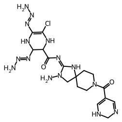 NN=NC1=C(Cl)NC(C(=O)/N=C2/NC3(CCN(C(=O)C4=CNCN=C4)CC3)CN2N)C(N=NN)N1